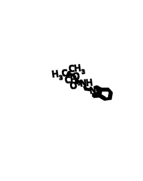 CC(C)(C)OC(=O)NCN1C2CC1c1ccccc12